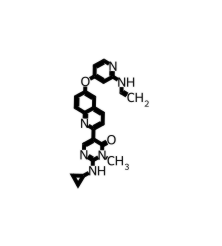 C=CNc1cc(Oc2ccc3nc(-c4cnc(NC5CC5)n(C)c4=O)ccc3c2)ccn1